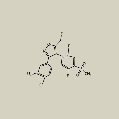 Cc1cc(-c2noc(CF)c2-c2cc(F)c(S(C)(=O)=O)cc2F)ccc1Cl